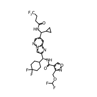 O=C(CCC(F)(F)F)NC(c1cnn2cc([C@@H](NC(=O)c3conc3COC(F)F)C3CCC(F)(F)CC3)nc2c1)C1CC1